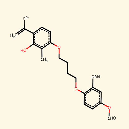 C=C(CCC)c1ccc(OCCCCOc2ccc(OC=O)cc2OC)c(C)c1O